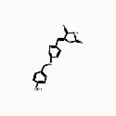 COc1ccc(COc2ccc(/C=C3\SC(=S)NC3=O)cc2)cc1